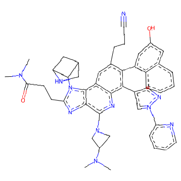 CN(C)C(=O)CCc1nc2c(N3CC(N(C)C)C3)nc3c(-c4cnn(-c5ccccn5)c4)c(-c4cc(O)cc5ccccc45)c(CCC#N)cc3c2n1C1C2CNC1C2